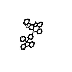 c1ccc(N(c2ccc(C3(c4ccccc4)c4ccccc4-c4ccccc43)cc2)c2cc3oc4ccccc4c3c3sc4ccccc4c23)cc1